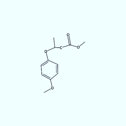 COC(=O)CC(C)Oc1ccc(OC)cc1